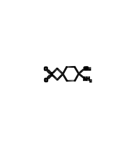 CC(C)(C)C1(N)CCC2(CC1)CS(=O)(=O)C2